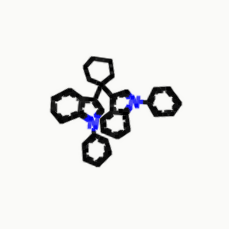 c1ccc(-n2cc(C3(c4cn(-c5ccccc5)c5ccccc45)CCCCC3)c3ccccc32)cc1